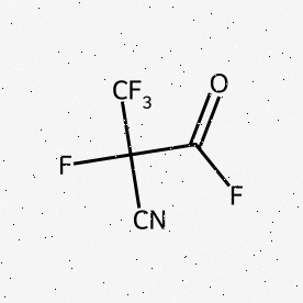 N#CC(F)(C(=O)F)C(F)(F)F